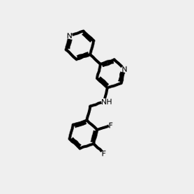 Fc1cccc(CNc2cncc(-c3ccncc3)c2)c1F